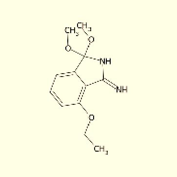 CCOc1cccc2c1C(=N)NC2(OC)OC